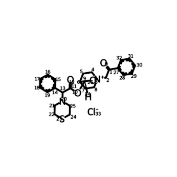 O=C(C[N+]12CCC(CC1)[C@@H](OC(=O)C(c1ccccc1)N1CCSCC1)C2)c1ccccc1.[Cl-]